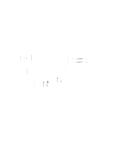 Cl.Cl.N.NP=S